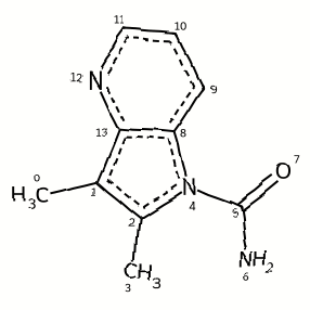 Cc1c(C)n(C(N)=O)c2cccnc12